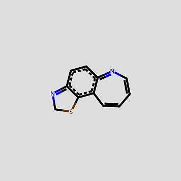 C1=CN=c2ccc3c(c2C=C1)SCN=3